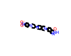 O=c1[nH]ncc2cc(N3CCC4(CC3)CCN(C3CCN(c5ccc([N+](=O)[O-])cc5)CC3)CC4)ccc12